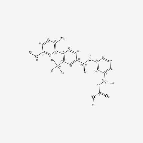 COC(=O)C[C@@H](C)c1cccc(O[C@@H](C)c2ccc(-c3cc(OC)ccc3F)c(C(C)(C)C)c2)c1